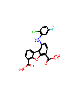 O=C(O)c1cccc2c1oc1c(C(=O)O)ccc(Nc3cc(F)ccc3Cl)c12